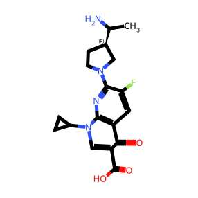 CC(N)[C@@H]1CCN(c2nc3c(cc2F)c(=O)c(C(=O)O)cn3C2CC2)C1